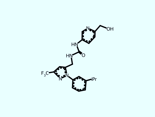 CC(C)c1cccc(-n2nc(C(F)(F)F)cc2CNC(=O)Nc2ccc(CO)nc2)c1